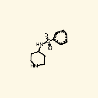 O=S(=O)(NC1CCNCC1)c1ccccc1